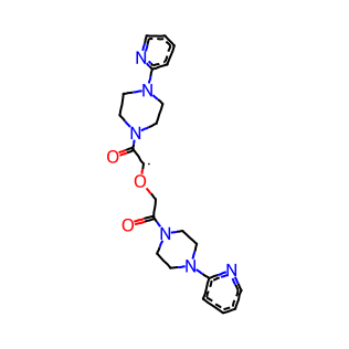 O=C([CH]OCC(=O)N1CCN(c2ccccn2)CC1)N1CCN(c2ccccn2)CC1